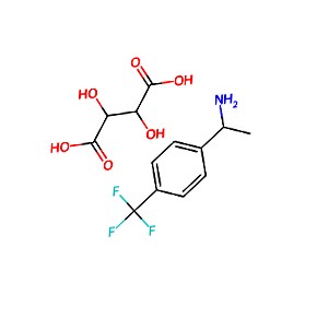 CC(N)c1ccc(C(F)(F)F)cc1.O=C(O)C(O)C(O)C(=O)O